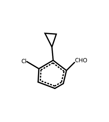 O=Cc1cccc(Cl)c1C1CC1